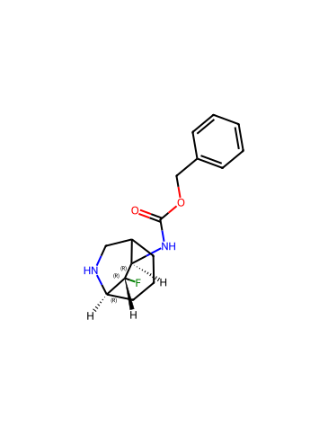 O=C(N[C@@H]1C2CCC[C@@H](NC2)[C@H]1F)OCc1ccccc1